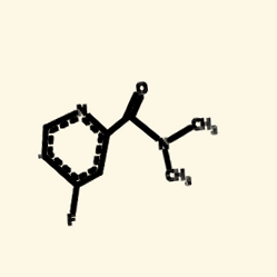 CN(C)C(=O)c1cc(F)[c]cn1